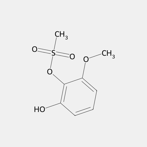 COc1cccc(O)c1OS(C)(=O)=O